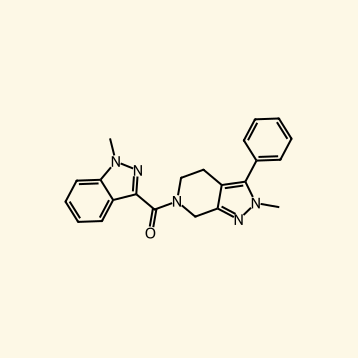 Cn1nc2c(c1-c1ccccc1)CCN(C(=O)c1nn(C)c3ccccc13)C2